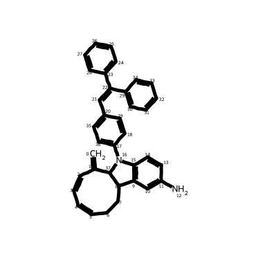 C=C1/C=C\C=C/CCC2c3cc(N)ccc3N(c3ccc(C=C(c4ccccc4)c4ccccc4)cc3)C12